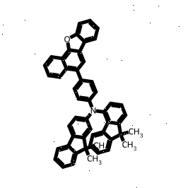 CC1(C)c2ccccc2-c2ccc(N(c3ccc(-c4cc5c6ccccc6oc5c5ccccc45)cc3)c3cccc4c3-c3ccccc3C4(C)C)cc21